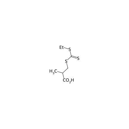 CCSC(=S)SCC(C)C(=O)O